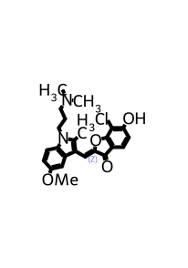 COc1ccc2c(c1)c(/C=C1\Oc3c(ccc(O)c3Cl)C1=O)c(C)n2CCCN(C)C